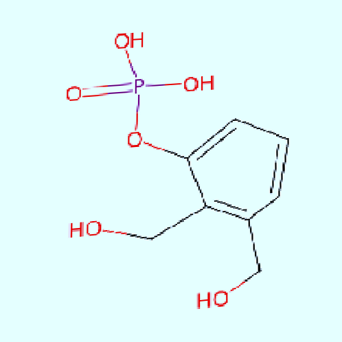 O=P(O)(O)Oc1cccc(CO)c1CO